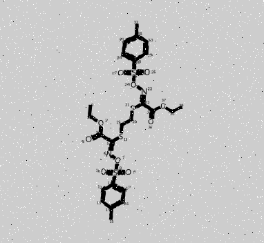 CCOC(=O)/C(=N/OS(=O)(=O)c1ccc(C)cc1)SCCS/C(=N\OS(=O)(=O)c1ccc(C)cc1)C(=O)OCC